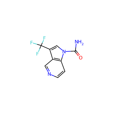 NC(=O)n1cc(C(F)(F)F)c2cnccc21